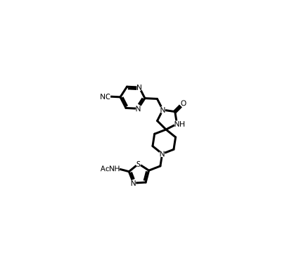 CC(=O)Nc1ncc(CN2CCC3(CC2)CN(Cc2ncc(C#N)cn2)C(=O)N3)s1